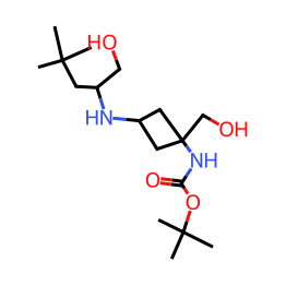 CC(C)(C)CC(CO)NC1CC(CO)(NC(=O)OC(C)(C)C)C1